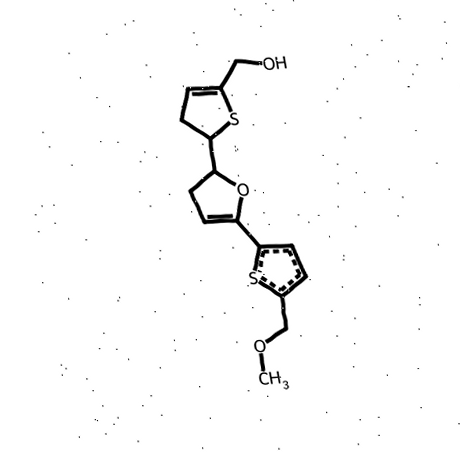 COCc1ccc(C2=CCC(C3CC=C(CO)S3)O2)s1